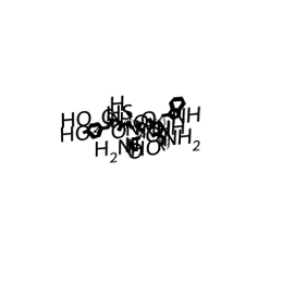 C[C@@H](O)[C@H](N)C(=O)N[C@@H](Cc1c[nH]c2ccccc12)C(=O)N[C@@H](CCC(N)=O)C(=O)N[C@@H](CS)C(=O)N[C@@H](Cc1ccc(O)cc1)C(=O)O